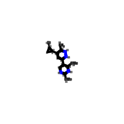 CC[C@H]1C[C@@H]1c1cc(-c2cnc(OC)nc2OC)nnc1C